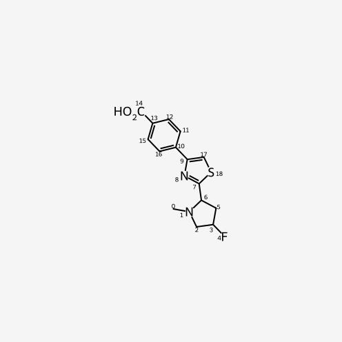 CN1CC(F)CC1c1nc(-c2ccc(C(=O)O)cc2)cs1